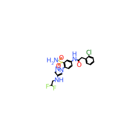 NS(=O)(=O)c1cc(NC(=O)Cc2ccccc2Cl)ccc1-n1cc(NCC(F)F)cn1